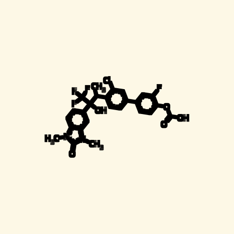 CC(c1ccc(-c2ccc(OC(=O)O)c(F)c2)cc1Cl)C(O)(c1ccc2c(c1)n(C)c(=O)n2C)C(F)(F)F